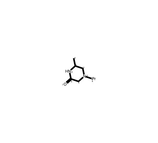 CC1CN(C(C)C)CC(=O)N1